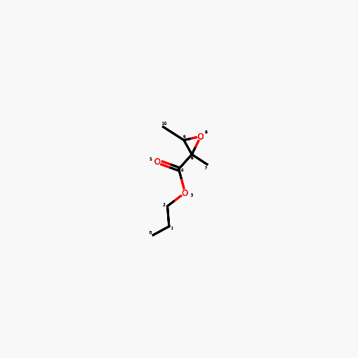 CCCOC(=O)C1(C)OC1C